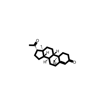 CC(=O)[C@H]1CC[C@H]2[C@@H]3CCC4=CC(=O)CC[C@]4(CBr)[C@H]3CC[C@]12C